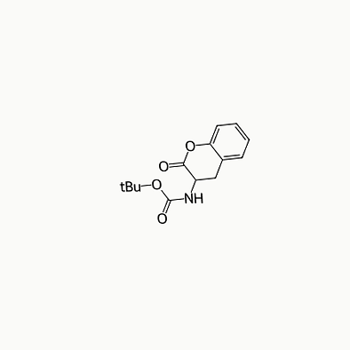 CC(C)(C)OC(=O)NC1Cc2ccccc2OC1=O